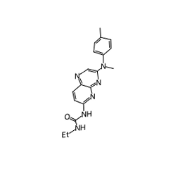 CCNC(=O)Nc1ccc2ncc(N(C)c3ccc(C)cc3)nc2n1